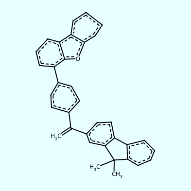 C=C(c1ccc(-c2cccc3c2oc2ccccc23)cc1)c1ccc2c(c1)C(C)(C)c1ccccc1-2